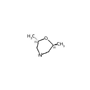 C[C@H]1C[N]C[C@H](C)O1